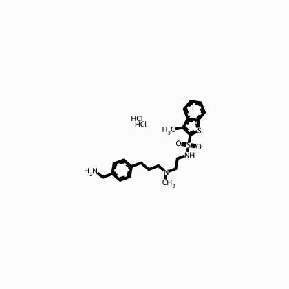 Cc1c(S(=O)(=O)NCCN(C)CCCc2ccc(CN)cc2)sc2ccccc12.Cl.Cl